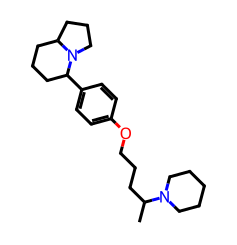 CC(CCCOc1ccc(C2CCCC3CCCN32)cc1)N1CCCCC1